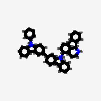 c1ccc(-n2c3ccccc3c3cc(-c4ccc5c6ccccc6n(-c6ccc7c8c(nccc68)-c6ccccc6-7)c5c4)ccc32)cc1